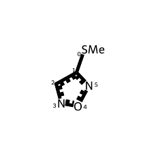 CSc1cnon1